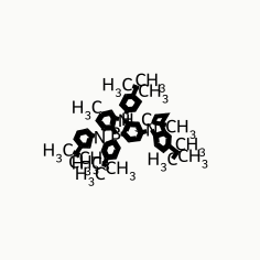 Cc1cc2c3c(c1)N(c1cccc(C(C)(C)C)c1)c1cc(C(C)(C)C)ccc1B3c1ccc(N3c4ccc(C(C)(C)C)cc4C4(C)CCC34C)cc1N2c1ccc(C(C)(C)C)cc1